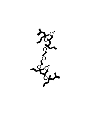 C=C(C)CC(C)(CCC)OC(COC)CC(C)(CCC)OCCOCCOC(C)(CCC)CC(COC)OC(C)(CCC)CC(=C)C